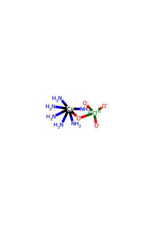 [NH2][Co]([NH2])([NH2])([NH2])([NH2])([NH2])[O][Cl+3]([O-])([O-])[O-]